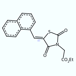 CCOC(=O)CN1C(=O)S/C(=C\c2cccc3ccccc23)C1=O